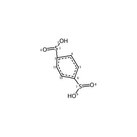 O=S(O)c1ccc(S(=O)O)cc1